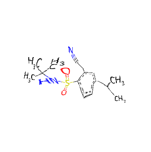 CC(C)c1ccc(S(=O)(=O)NC(C)(C)C)c(C#N)c1